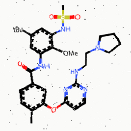 COc1c(NC(=O)c2ccc(C)c(Oc3ccnc(NCCN4CCCC4)n3)c2)cc(C(C)(C)C)cc1NS(C)(=O)=O